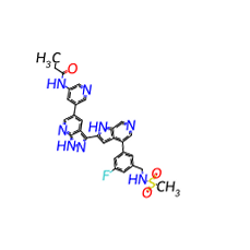 CCC(=O)Nc1cncc(-c2cnc3[nH]nc(-c4cc5c(-c6cc(F)cc(CNS(C)(=O)=O)c6)cncc5[nH]4)c3c2)c1